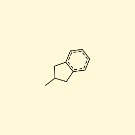 CC1Cc2ccccc2C1